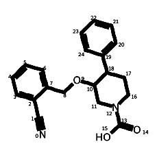 N#Cc1ccccc1COC1CN(C(=O)O)CCC1c1ccccc1